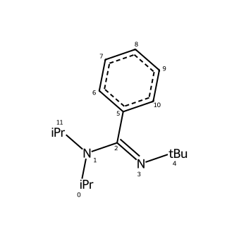 CC(C)N(/C(=N/C(C)(C)C)c1ccccc1)C(C)C